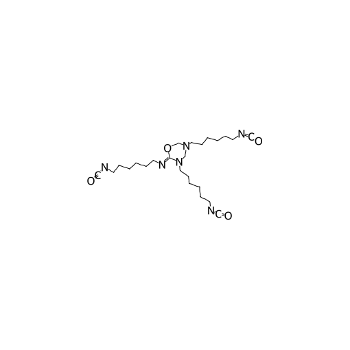 O=C=NCCCCCC/N=C1\OCN(CCCCCCN=C=O)CN1CCCCCCN=C=O